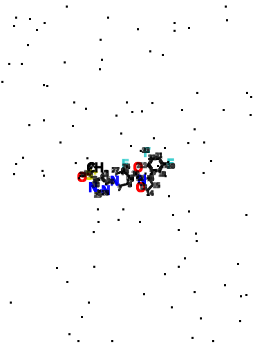 C[S@+]([O-])c1cc(N2CC[C@@H](C(=O)N3OCCC3c3cc(F)cc(F)c3)[C@@H](F)C2)ncn1